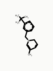 CC1=CN(Cc2cccc(C(C)(C)C)c2)CC=C1